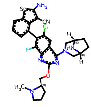 CN1CCC[C@@H]1COc1nc(N2C[C@H]3CC[C@@H](C2)N3)c2cc(Cl)c(-c3cccc4[se]c(N)c(C#N)c34)c(F)c2n1